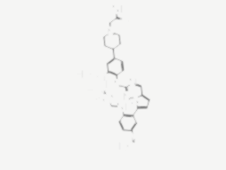 COc1ccc(NCS(C)(=O)=O)c(-c2ccc3cnc(Nc4ccc(C5CCN(CC(N)=O)CC5)cc4OC)nn23)c1